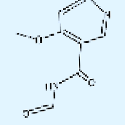 COc1ccncc1C(=O)NC=O